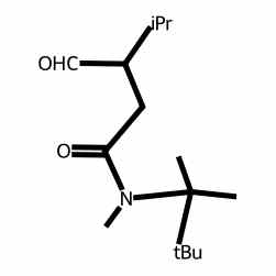 CC(C)C(C=O)CC(=O)N(C)C(C)(C)C(C)(C)C